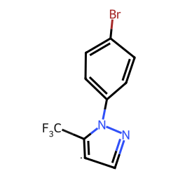 FC(F)(F)c1[c]cnn1-c1ccc(Br)cc1